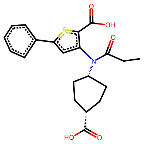 CCC(=O)N(c1cc(-c2ccccc2)sc1C(=O)O)[C@H]1CC[C@@H](C(=O)O)CC1